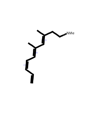 C=C\C=C/C=C(C)/C=C(\C)CCNC